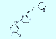 Fc1ccc(Nc2ccnc(OCCC3CNCCO3)n2)cc1Cl